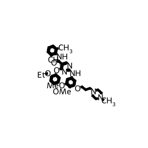 CCOc1ccccc1Oc1nc(Nc2cc(OC)c(OC)c(OCCCN3CCN(C)CC3)c2)ncc1C(=O)Nc1c(C)cccc1C